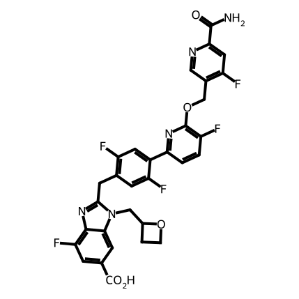 NC(=O)c1cc(F)c(COc2nc(-c3cc(F)c(Cc4nc5c(F)cc(C(=O)O)cc5n4CC4CCO4)cc3F)ccc2F)cn1